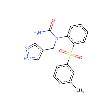 Cc1cccc(S(=O)(=O)c2ccccc2N(Cc2cn[nH]c2)C(N)=O)c1